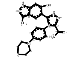 Cc1n[nH]c2cc(O)c(-c3nnc(C(N)=O)n3-c3ccc(N4CCOCC4)cc3)cc12